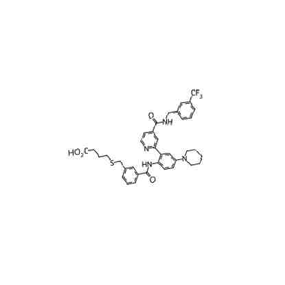 O=C(O)CCCSCc1cccc(C(=O)Nc2ccc(N3CCCCC3)cc2-c2cc(C(=O)NCc3cccc(C(F)(F)F)c3)ccn2)c1